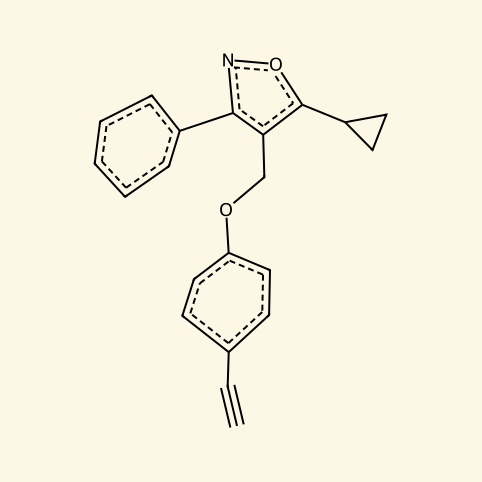 C#Cc1ccc(OCc2c(-c3ccccc3)noc2C2CC2)cc1